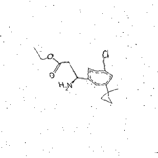 CCOC(=O)C[C@H](N)c1cc(Cl)cc(C2(C)CC2)c1